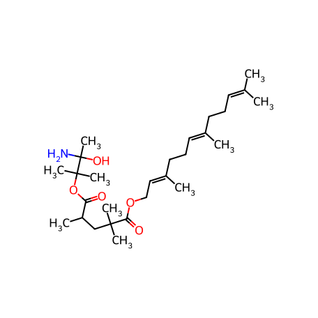 CC(C)=CCC/C(C)=C/CC/C(C)=C/COC(=O)C(C)(C)CC(C)C(=O)OC(C)(C)C(C)(N)O